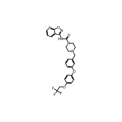 O=C(Nc1noc2ncccc12)N1CCN(Cc2cccc(Oc3ccc(OCC(F)(F)F)cc3)c2)CC1